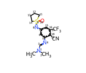 CN(C)C=Nc1cc(N=S2(=O)CCCC2)cc(C(F)(F)F)c1C#N